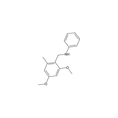 COc1cc(C)c(CNc2ccccc2)c(OC)c1